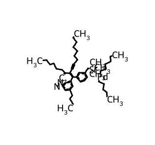 CCCCCCCC#CC(C(=C=[N+]=[N-])CCCCCC)=C(c1cccc(CCCC)c1)c1cccc(C[Si](C)(C)C)c1.CCCCC[CH2][Pd][CH2]CCCCC